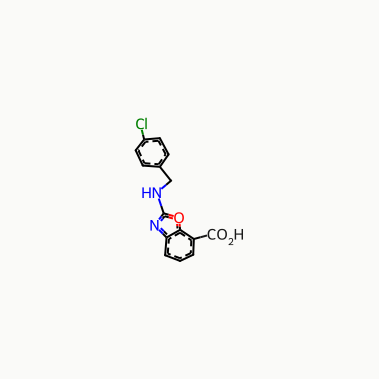 O=C(O)c1cccc2nc(NCc3ccc(Cl)cc3)oc12